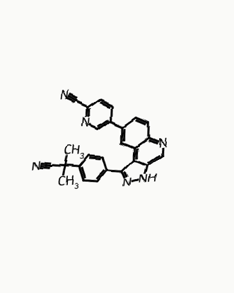 CC(C)(C#N)c1ccc(-c2n[nH]c3cnc4ccc(-c5ccc(C#N)nc5)cc4c23)cc1